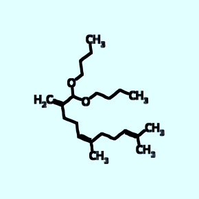 C=C(CCC=C(C)CCC=C(C)C)C(OCCCC)OCCCC